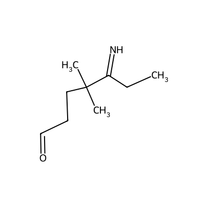 CCC(=N)C(C)(C)CCC=O